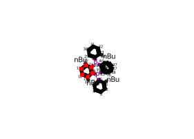 CCCCc1ccccc1P(c1ccccc1CCCC)[C]12[CH]3[CH]4[CH]5[C]1(P(c1ccccc1CCCC)c1ccccc1CCCC)[Fe]43521678[CH]2[CH]1[CH]6[CH]7[CH]28